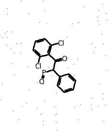 O=PC(C(=O)c1c(Cl)cccc1Cl)c1ccccc1